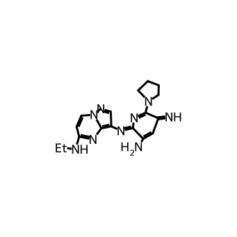 CCNc1ccn2ncc(/N=C3\N=C(N4CCCC4)C(=N)C=C3N)c2n1